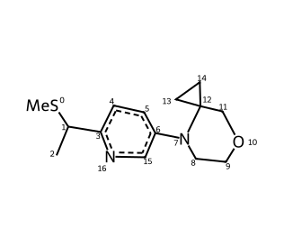 CSC(C)c1ccc(N2CCOCC23CC3)cn1